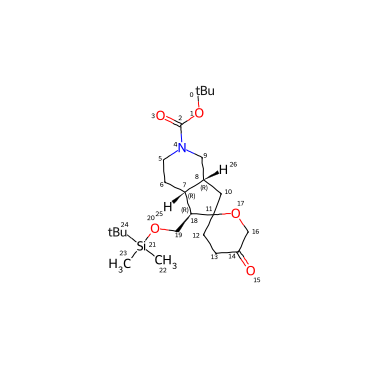 CC(C)(C)OC(=O)N1CC[C@@H]2[C@H](C1)CC1(CCC(=O)CO1)[C@H]2CO[Si](C)(C)C(C)(C)C